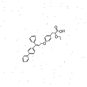 CCOC(Cc1ccc(OC/C=C(\c2ccccc2)c2ccc(-c3ccccc3)cc2)cc1)C(=O)O